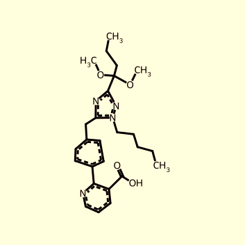 CCCCCn1nc(C(CCC)(OC)OC)nc1Cc1ccc(-c2ncccc2C(=O)O)cc1